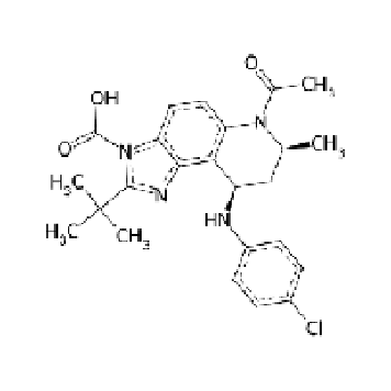 CC(=O)N1c2ccc3c(nc(C(C)(C)C)n3C(=O)O)c2[C@H](Nc2ccc(Cl)cc2)C[C@@H]1C